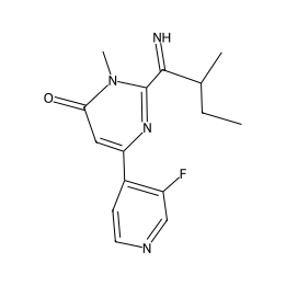 CCC(C)C(=N)c1nc(-c2ccncc2F)cc(=O)n1C